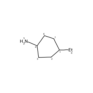 [CH2]CC1CCC(N)CC1